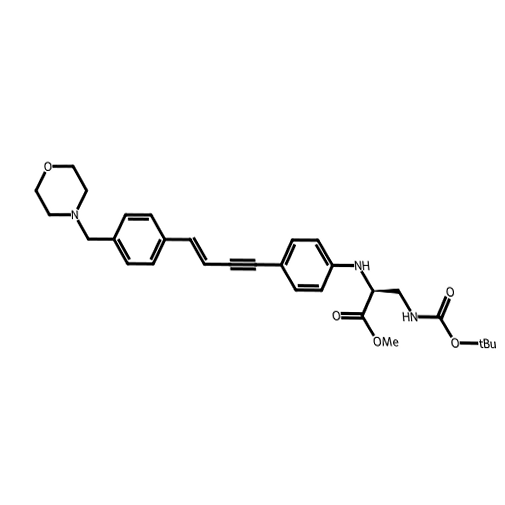 COC(=O)[C@H](CNC(=O)OC(C)(C)C)Nc1ccc(C#C/C=C/c2ccc(CN3CCOCC3)cc2)cc1